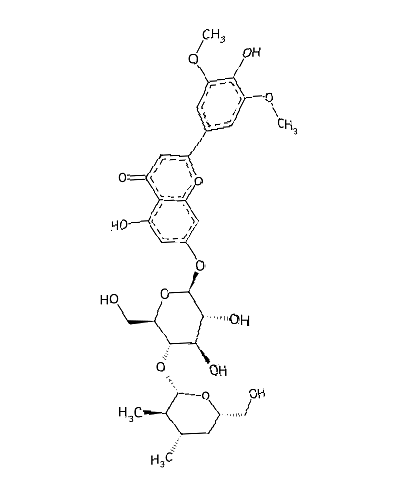 COc1cc(-c2cc(=O)c3c(O)cc(O[C@@H]4O[C@H](CO)[C@@H](O[C@@H]5O[C@H](CO)C[C@H](C)[C@H]5C)[C@H](O)[C@H]4O)cc3o2)cc(OC)c1O